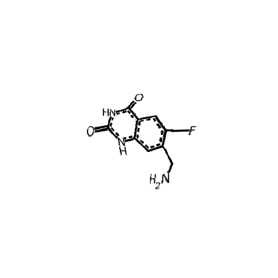 NCc1cc2[nH]c(=O)[nH]c(=O)c2cc1F